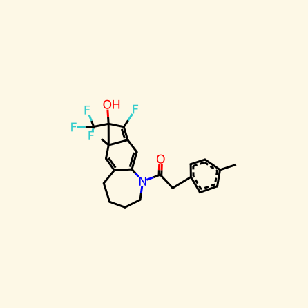 Cc1ccc(CC(=O)N2CCCCC3=CC4(C)C(=C(F)C4(O)C(F)(F)F)C=C32)cc1